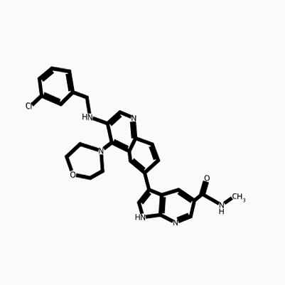 CNC(=O)c1cnc2[nH]cc(-c3ccc4ncc(NCc5cccc(Cl)c5)c(N5CCOCC5)c4c3)c2c1